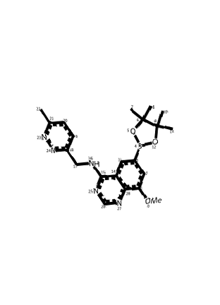 COc1cc(B2OC(C)(C)C(C)(C)O2)cc2c(NCc3ccc(C)nn3)ncnc12